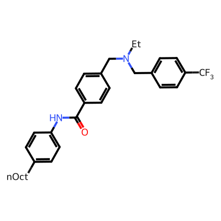 CCCCCCCCc1ccc(NC(=O)c2ccc(CN(CC)Cc3ccc(C(F)(F)F)cc3)cc2)cc1